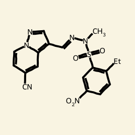 CCc1ccc([N+](=O)[O-])cc1S(=O)(=O)N(C)N=Cc1cnn2ccc(C#N)cc12